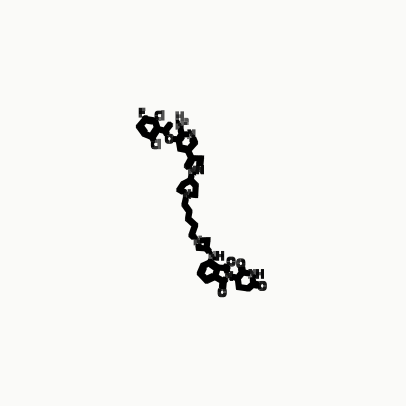 CC(Oc1cc(-c2cnn(C3CCN(CCCCCN4CC(Nc5cccc6c5C(=O)N(C5CCC(=O)NC5=O)C6=O)C4)CC3)c2)cnc1N)c1c(Cl)ccc(F)c1Cl